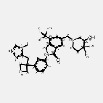 Cn1cnnc1CC1(c2cccc(N3Cc4c(cc(CN5CCC(F)(F)C(O)C5)cc4C(F)(F)F)C3=O)c2)COC1